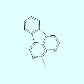 Clc1ncc2c3c(ccnc13)-c1ccccc1-2